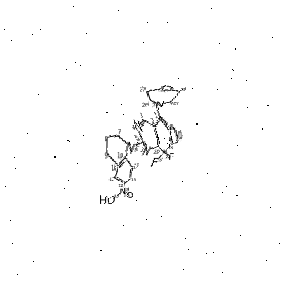 O=C(c1cnc(N2CCCc3cc([N+](=O)O)ccc32)nc1C(F)(F)F)N1CCOCC1